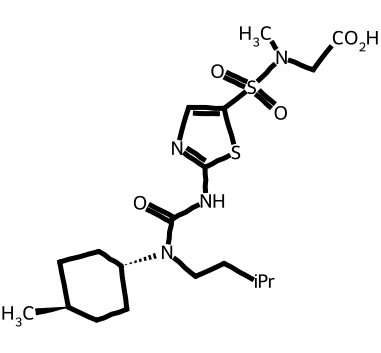 CC(C)CCN(C(=O)Nc1ncc(S(=O)(=O)N(C)CC(=O)O)s1)[C@H]1CC[C@H](C)CC1